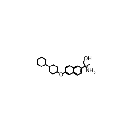 C[C@](N)(CO)c1ccc2cc(OC3CCC(C4CCCCC4)CC3)ccc2c1